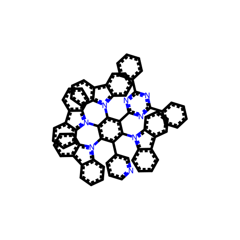 c1ccc(-c2nc(-c3ccccc3)nc(-c3c(-n4c5ccccc5c5ccccc54)c(-c4cccnc4)c(-n4c5ccccc5c5ccccc54)c(-n4c5ccccc5c5ccccc54)c3-n3c4ccccc4c4ccccc43)n2)cc1